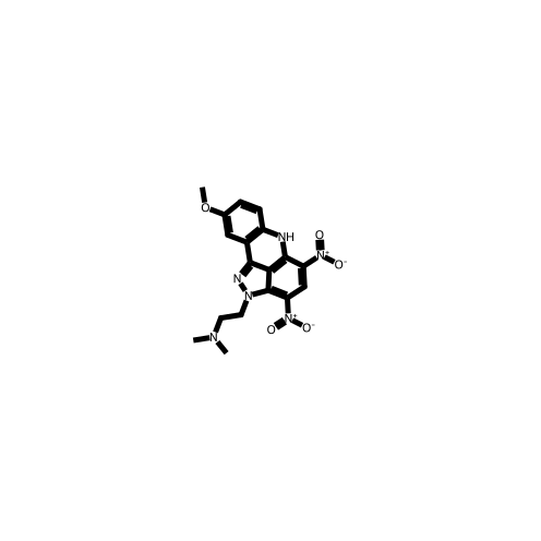 COc1ccc2c(c1)-c1nn(CCN(C)C)c3c([N+](=O)[O-])cc([N+](=O)[O-])c(c13)N2